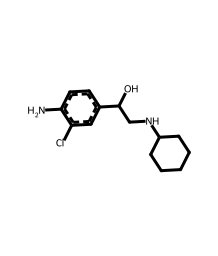 Nc1ccc(C(O)CNC2CCCCC2)cc1Cl